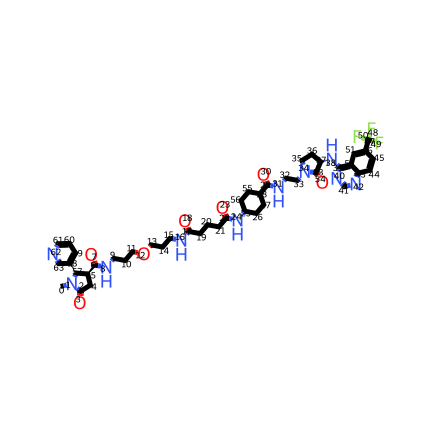 CN1C(=O)C[C@H](C(=O)NCCCOCCCNC(=O)CCCC(=O)NC2CCC(C(=O)NCCN3CC[C@H](Nc4ncnc5ccc(C(F)(F)F)cc45)C3=O)CC2)[C@H]1c1cccnc1